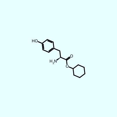 N[C@@H](Cc1ccc(O)cc1)C(=O)OC1CCCCC1